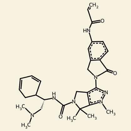 C=CC(=O)Nc1ccc2c(c1)CN(c1nn(C)c3c1CN(C(=O)N[C@H](CN(C)C)C1C=CC=CC1)C3(C)C)C2=O